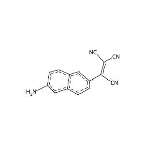 N#CC(C#N)=C(C#N)c1ccc2cc(N)ccc2c1